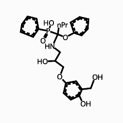 CCCC(NCC(O)COc1ccc(O)c(CO)c1)(Oc1ccccc1)P(=O)(O)c1ccccc1